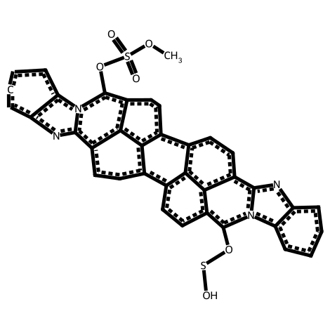 COS(=O)(=O)Oc1c2ccc3c4ccc5c6c(ccc(c7ccc(c2c37)c2nc3ccccc3n12)c46)c(OSO)n1c2ccccc2nc51